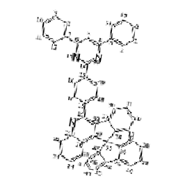 c1ccc(-c2cc(-c3ccccc3)nc(-c3ccc(-c4nc5ccccc5c5c4-c4ccccc4C54c5ccccc5-c5ccccc54)cc3)n2)cc1